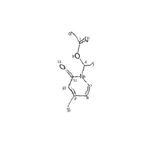 CC(=O)OC(C)n1ccc(C)cc1=O